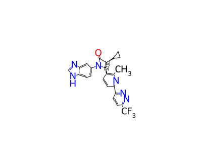 Cc1nc(-c2ccc(C(F)(F)F)nn2)ccc1[C@@H]1[C@H](C2CC2)C(=O)N1c1ccc2[nH]cnc2c1